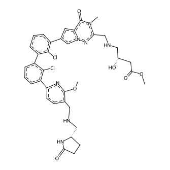 COC(=O)C[C@H](O)CNCc1nn2cc(-c3cccc(-c4cccc(-c5ccc(CNC[C@@H]6CCC(=O)N6)c(OC)n5)c4Cl)c3Cl)cc2c(=O)n1C